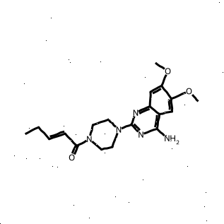 CCC=CC(=O)N1CCN(c2nc(N)c3cc(OC)c(OC)cc3n2)CC1